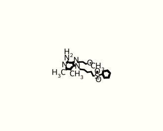 COCCc1nc2c(N)nc(C)c(C)c2n1CCCCCS(=O)(=O)c1ccccc1